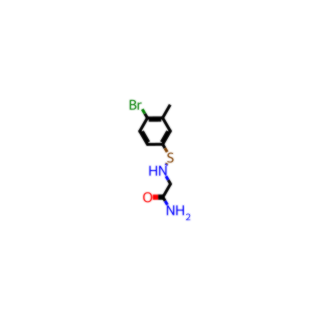 Cc1cc(SNCC(N)=O)ccc1Br